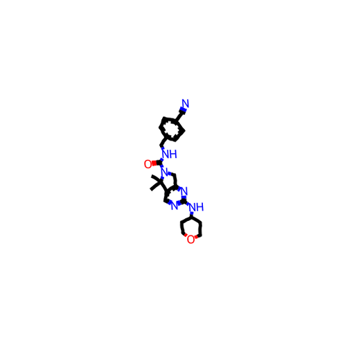 CC1(C)c2cnc(NC3CCOCC3)nc2CN1C(=O)NCc1ccc(C#N)cc1